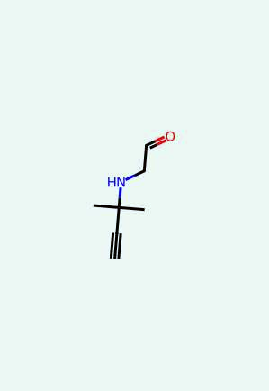 C#CC(C)(C)NCC=O